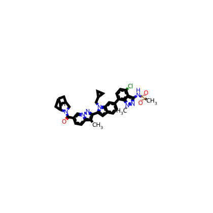 Cc1c(-c2cc3ccc(-c4ccc(Cl)c5c(NS(C)(=O)=O)nn(C)c45)cc3n2CC2CC2)nn2cc(C(=O)N3CC4CC5CC3[C@H]54)ccc12